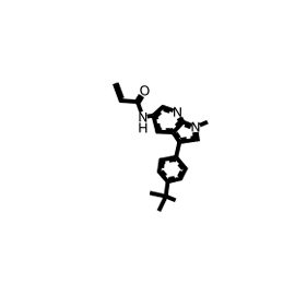 C=CC(=O)Nc1cnc2c(c1)c(-c1ccc(C(C)(C)C)cc1)cn2C